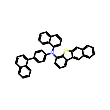 c1ccc2cc3c(cc2c1)sc1c(N(c2ccc(-c4cccc5ccccc45)cc2)c2cccc4ccccc24)cccc13